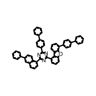 c1ccc(-c2ccc(-c3nc(-c4cccc5cc(-c6ccccc6)ccc45)nc(-c4cccc5oc6c(-c7ccc(-c8ccccc8)cc7)cccc6c45)n3)cc2)cc1